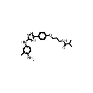 Cc1cc(Nc2nnc(-c3ccc(OCCCNC(=O)C(C)C)cc3)[nH]2)ccc1N